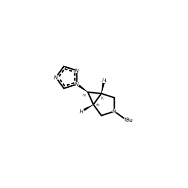 CC(C)(C)N1C[C@@H]2[C@H](C1)[C@H]2n1cncn1